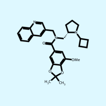 COc1cc(C(=O)N(Cc2cnc3ccccc3c2)C[C@@H]2CCCN2C2CCC2)cc2c1OC(C)(C)O2